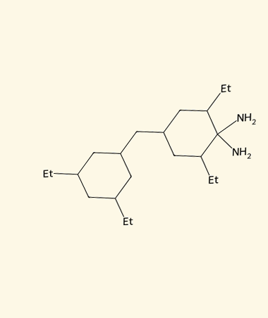 CCC1CC(CC)CC(CC2CC(CC)C(N)(N)C(CC)C2)C1